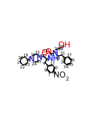 O=C(NC(Cc1ccc([N+](=O)[O-])cc1)C(=O)N1CCN(C2CCCCC2)CC1)N(CCO)CCc1ccccc1